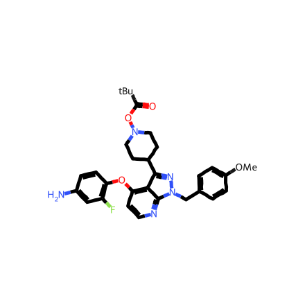 COc1ccc(Cn2nc(C3CCN(OC(=O)C(C)(C)C)CC3)c3c(Oc4ccc(N)cc4F)ccnc32)cc1